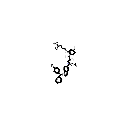 C/C(=C\C(=O)Nc1ccc(F)cc1OCCCC(=O)O)c1ccc2c(ccn2C(c2ccc(F)cc2)c2ccc(F)cc2)c1